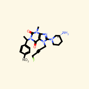 CC(c1ccc([N+](=O)[O-])cc1)n1c(=O)c2c(nc(N3CCC[C@@H](N)C3)n2CC#CCF)n(C)c1=O